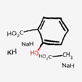 CC(=O)O.O=C(O)c1ccccc1O.[KH].[NaH].[NaH]